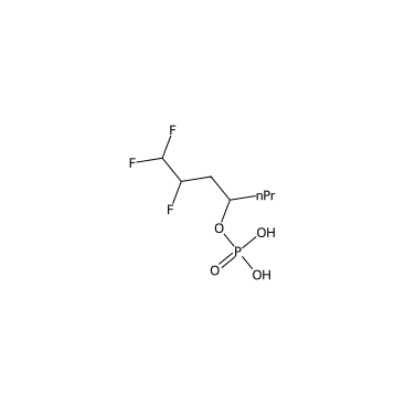 CCCC(CC(F)C(F)F)OP(=O)(O)O